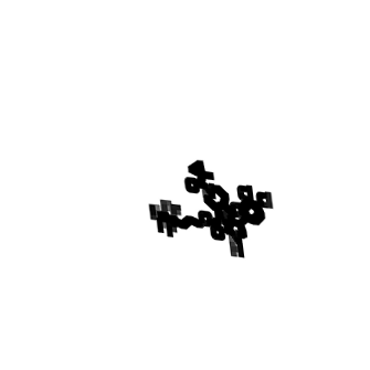 CN(C(=O)OCCCC(F)(F)C(F)(F)F)[C@@]1(C(=O)C2CCN(C(=O)C3(C)CC3)CC2)CNC[C@@H]1c1ccc(Cl)c(Cl)c1